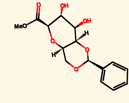 COC(=O)[C@@H]1O[C@@H]2CO[C@H](c3ccccc3)O[C@@H]2[C@H](O)[C@H]1O